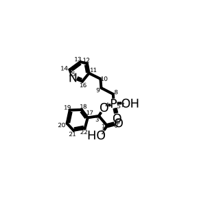 O=C(O)C(OP(=O)(O)CCCc1cccnc1)c1ccccc1